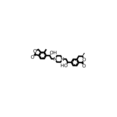 Cc1c([C@H](O)CN2CCN(CC(O)c3ccc4c(c3)C[C@@H](C)OC4=O)CC2)ccc2c1COC2=O